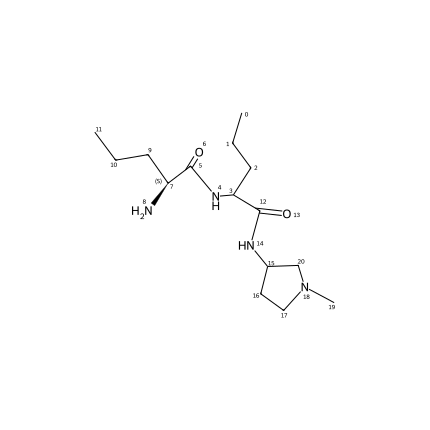 CCCC(NC(=O)[C@@H](N)CCC)C(=O)NC1CCN(C)C1